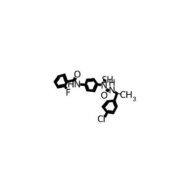 C[C@@H](NC(=O)N(S)c1ccc(NC(=O)c2ccccc2F)cc1)c1ccc(Cl)cc1